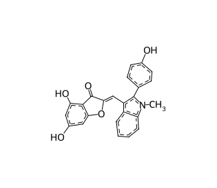 Cn1c(-c2ccc(O)cc2)c(C=C2Oc3cc(O)cc(O)c3C2=O)c2ccccc21